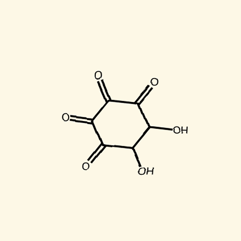 O=C1C(=O)C(=O)C(O)C(O)C1=O